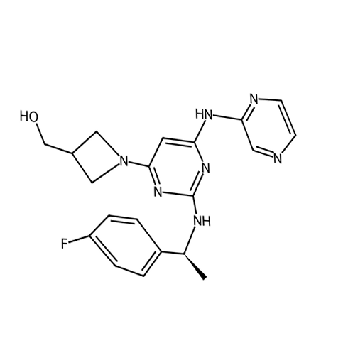 C[C@H](Nc1nc(Nc2cnccn2)cc(N2CC(CO)C2)n1)c1ccc(F)cc1